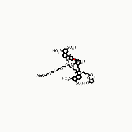 CC[N+]1=C(/C=C/C2=C(Cl)C(=C/C=C3/N(CCCC(=O)ON4C(=O)CCC4=O)c4ccc5c(S(=O)(=O)O)cc(S(=O)(=O)O)cc5c4C3(C)CCOCCOCCOCCOCCOCCOC)/CCC2)C(C)(CCCS(=O)(=O)O)c2c1ccc1c(S(=O)(=O)O)cc(S(=O)(=O)O)cc21